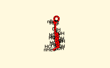 CCCCCCC(C)CO[C@@H]1C(C(=O)O)O[C@@H](O[C@@H]2C(CO)O[C@@H](O[C@@H]3C(CO)O[C@H](O[C@H]4C(CO)O[C@H](OCCNC(=O)CCCCC(=O)NC(CC)(CCCC)C5CCCCCCCCCCCC5)C(O)C4O)C(O)C3O)C(O)C2O)C(O)C1O